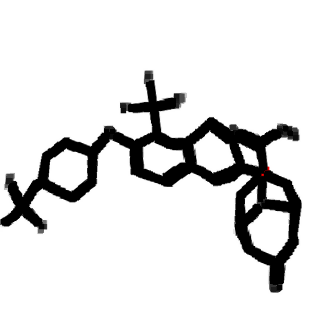 O=C1CC2CC(C(=O)O)CC(C1)N2Cc1ccc2c(C(F)(F)F)c(OC3CCC(C(F)(F)F)CC3)ccc2c1